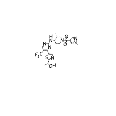 CC(O)c1ncc(-c2nc(N[C@H]3CCN(S(=O)(=O)c4cnn(C)c4)C[C@H]3C)ncc2C(F)(F)F)s1